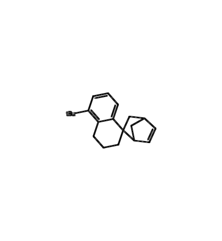 CC(C)(C)c1cccc2c1CCCC21CC2C=CC1C2